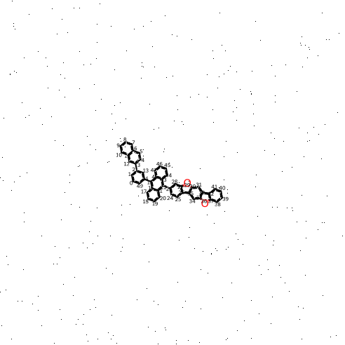 c1cc(-c2ccc3ccccc3c2)cc(-c2c3ccccc3c(-c3ccc4c(c3)oc3cc5c(cc34)oc3ccccc35)c3ccccc23)c1